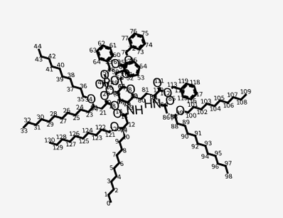 CCCCCCCCCCC[C@H](CC(=O)N[C@@H]1[C@@H](OC(=O)C[C@@H](CCCCCCCCCCC)OCCCCCCCCCC)[C@H](OP(=O)(OCc2ccccc2)OCc2ccccc2)[C@@H](COC(=O)OCc2ccccc2)O[C@H]1CC[C@H](NC(=O)C[C@@H](CCCCCCCCCCC)OCCCCCCCCCC)C(=O)OCc1ccccc1)OCCCCCCCCCC